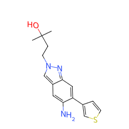 CC(C)(O)CCn1cc2cc(N)c(-c3ccsc3)cc2n1